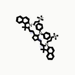 CC1(C)C(/C=C/C2=C(N(c3ccccc3)c3ccccc3)C(=C/C=C3\N(CCC[N+](C)(C)C)c4ccc5ccccc5c4C3(C)C)/CC2)=[N+](CCC[N+](C)(C)C)c2ccc3ccccc3c21